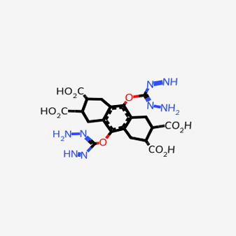 N=NC(=NN)Oc1c2c(c(OC(N=N)=NN)c3c1CC(C(=O)O)C(C(=O)O)C3)CC(C(=O)O)C(C(=O)O)C2